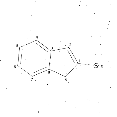 [S]C1=Cc2ccccc2C1